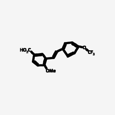 COc1ccc(C(=O)O)cc1/C=C/c1ccc(OC(F)(F)F)cc1